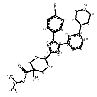 CN(C)OC(=O)C1(C)COC(c2nc(-c3ccc(F)cc3)c(-c3ccnc(N4CCOCC4)n3)[nH]2)OC1